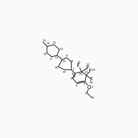 CCOC1=CC=C(C2CCC(C3CCC(C)CC3)CC2)C(F)(F)C1(F)F